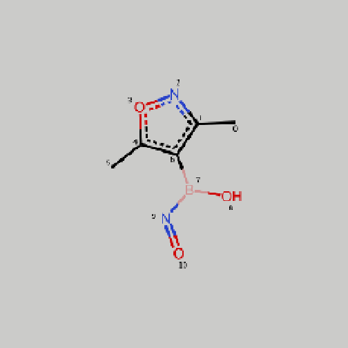 Cc1noc(C)c1B(O)N=O